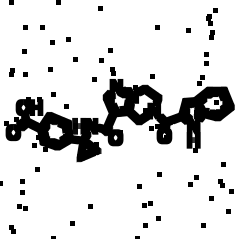 O=C(O)c1ccc(C2(NC(=O)c3cnn4c3CN(C(=O)c3cc5ccccc5[nH]3)CC4)CC2)cc1